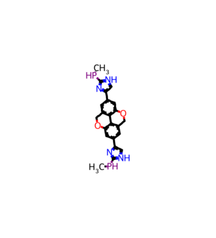 CPc1nc(-c2cc3c4c(c2)OCc2cc(-c5c[nH]c(PC)n5)cc(c2-4)OC3)c[nH]1